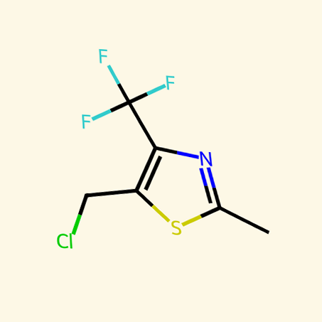 Cc1nc(C(F)(F)F)c(CCl)s1